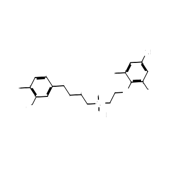 C[N+](C)(CCCCc1ccc(Cl)c(Cl)c1)CCOc1c(I)cc(N)cc1I.[Cl-]